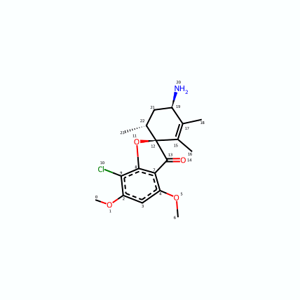 COc1cc(OC)c2c(c1Cl)O[C@]1(C2=O)C(C)=C(C)[C@H](N)C[C@H]1C